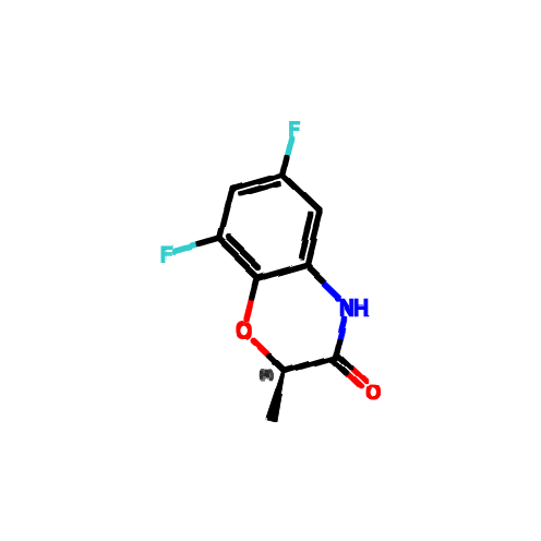 C[C@H]1Oc2c(F)cc(F)cc2NC1=O